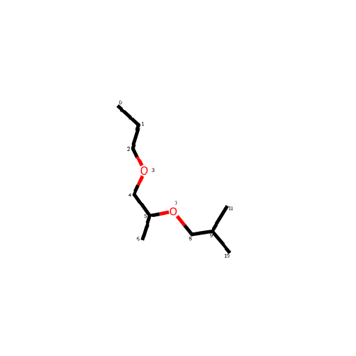 CCCOCC(C)OCC(C)C